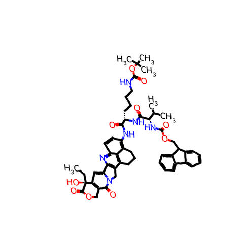 CC[C@@]1(O)C(=O)OCc2c1cc1n(c2=O)Cc2c-1nc1ccc(NC(=O)[C@H](CCCCNC(=O)OC(C)(C)C)NC(=O)[C@@H](NC(=O)OCC3c4ccccc4-c4ccccc43)C(C)C)c3c1c2CCC3